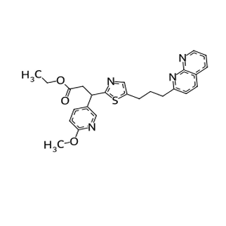 CCOC(=O)CC(c1ccc(OC)nc1)c1ncc(CCCc2ccc3cccnc3n2)s1